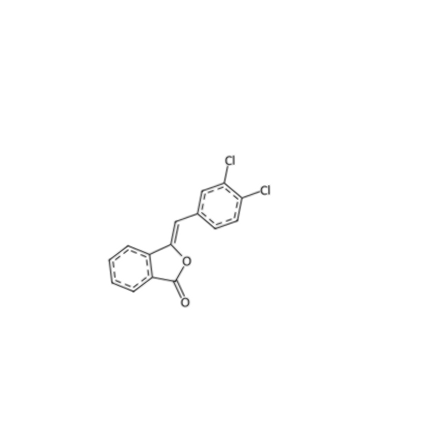 O=C1OC(=Cc2ccc(Cl)c(Cl)c2)c2ccccc21